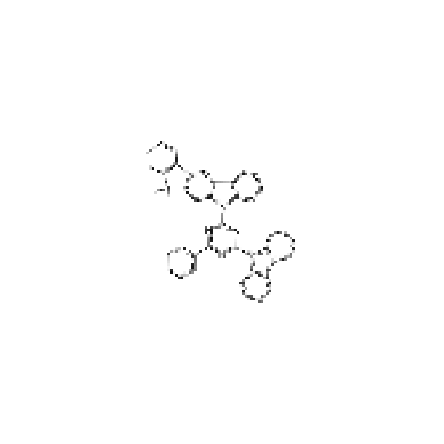 CC1(C)C2=C(C=CCC2)c2cc3c4ccccc4n(-c4nc(-c5ccccc5)nc(-n5c6ccccc6c6ccccc65)n4)c3cc21